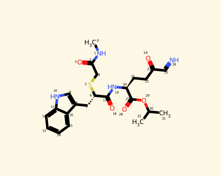 CNC(=O)CS[C@@H](Cc1c[nH]c2ccccc12)C(=O)N[C@@H](CCC(=O)C=N)C(=O)OC(C)C